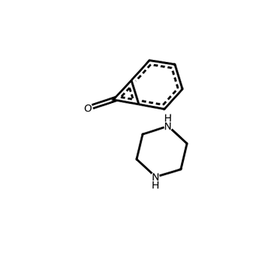 C1CNCCN1.O=c1c2ccccc12